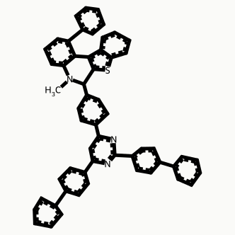 CN1c2cccc(-c3ccccc3)c2-c2c(sc3ccccc23)C1c1ccc(-c2cc(-c3ccc(-c4ccccc4)cc3)nc(-c3ccc(-c4ccccc4)cc3)n2)cc1